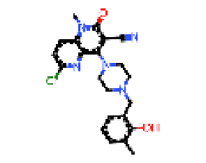 Cc1cccc(CN2CCN(c3c(C#N)c(=O)n(C)c4ccc(Cl)nc34)CC2)c1O